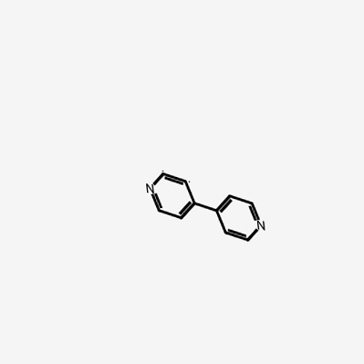 [c]1[c]c(-c2ccncc2)ccn1